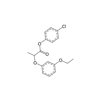 CCOc1cccc(OC(C)C(=O)Oc2ccc(Cl)cc2)c1